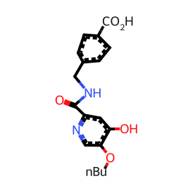 CCCCOc1cnc(C(=O)NCc2ccc(C(=O)O)cc2)cc1O